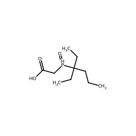 CCCC(CC)(CC)[PH](=O)CC(=O)O